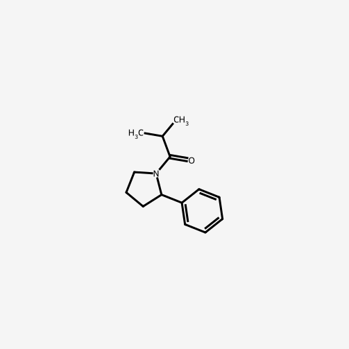 CC(C)C(=O)N1CCCC1c1ccccc1